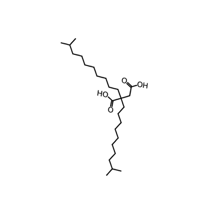 CC(C)CCCCCCCCC(CCCCCCCCC(C)C)(CC(=O)O)C(=O)O